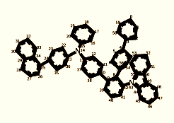 c1ccc(-c2ccc(-c3c(-c4ccc(N(c5ccccc5)c5ccc(-c6cccc7ccccc67)cc5)cc4)cccc3-n3c4ccccc4c4ccccc43)cc2)cc1